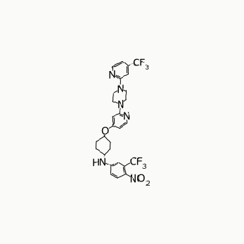 O=[N+]([O-])c1ccc(N[C@H]2CC[C@H](Oc3ccnc(N4CCN(c5cc(C(F)(F)F)ccn5)CC4)c3)CC2)cc1C(F)(F)F